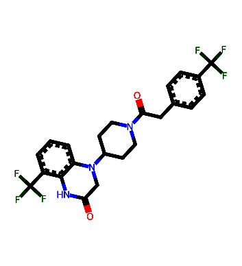 O=C1CN(C2CCN(C(=O)Cc3ccc(C(F)(F)F)cc3)CC2)c2cccc(C(F)(F)F)c2N1